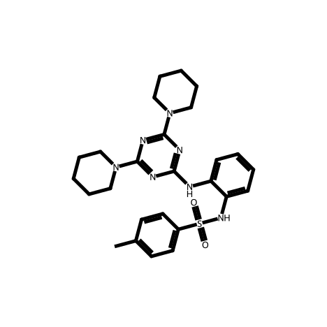 Cc1ccc(S(=O)(=O)Nc2ccccc2Nc2nc(N3CCCCC3)nc(N3CCCCC3)n2)cc1